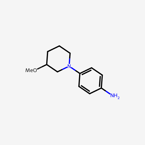 COC1CCCN(c2ccc(N)cc2)C1